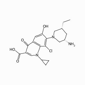 CC[C@@H]1C[C@H](N)CN(c2c(O)cc3c(=O)c(C(=O)O)cn(C4CC4)c3c2Cl)C1